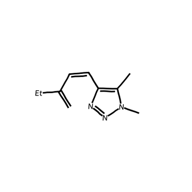 C=C(/C=C\c1nnn(C)c1C)CC